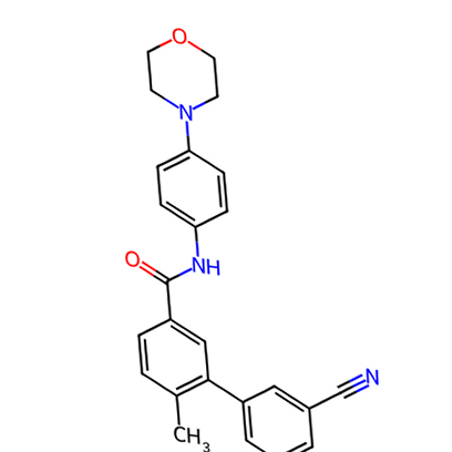 Cc1ccc(C(=O)Nc2ccc(N3CCOCC3)cc2)cc1-c1cccc(C#N)c1